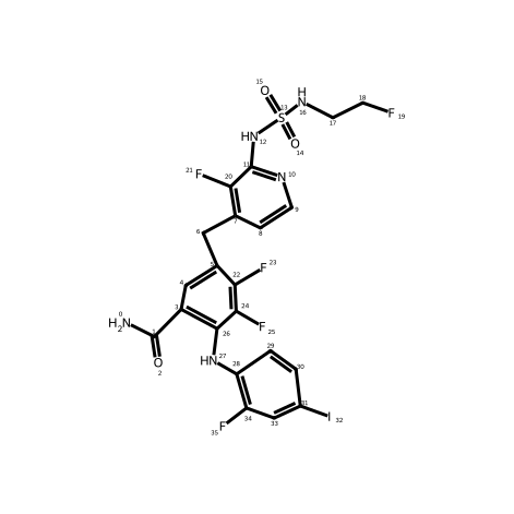 NC(=O)c1cc(Cc2ccnc(NS(=O)(=O)NCCF)c2F)c(F)c(F)c1Nc1ccc(I)cc1F